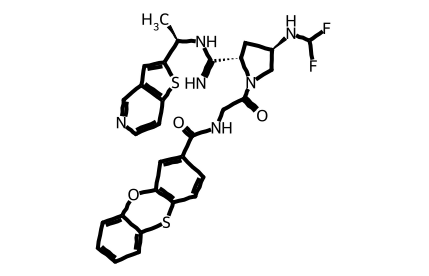 C[C@@H](NC(=N)[C@@H]1C[C@@H](NC(F)F)CN1C(=O)CNC(=O)c1ccc2c(c1)Oc1ccccc1S2)c1cc2cnccc2s1